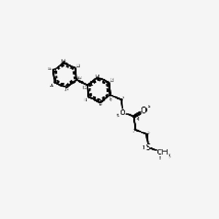 CSCCC(=O)OCc1ccc(-c2ccccc2)cc1